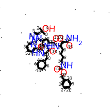 CC(C)(O)c1cnnn1[C@H]1C[C@@H](C(=O)NC(CCCCNC(=O)OCc2ccccc2)C(=O)C(N)=O)N(C(=O)[C@@H](CC2CCCCC2)NC(=O)c2ccccn2)C1